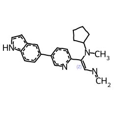 C=N/C=C(/c1ccc(-c2ccc3[nH]ccc3c2)cn1)N(C)C1CCCC1